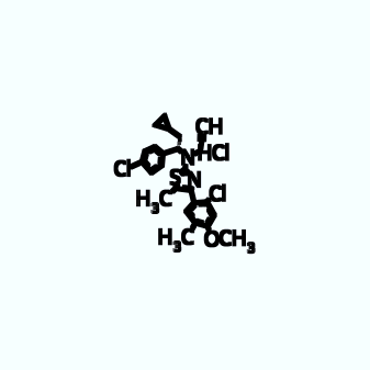 C#CCN(c1nc(-c2cc(C)c(OC)cc2Cl)c(C)s1)[C@@H](CC1CC1)c1ccc(Cl)cc1.Cl